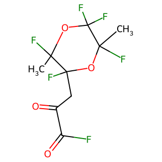 CC1(F)OC(F)(CC(=O)C(=O)F)C(C)(F)OC1(F)F